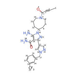 CC#CC(=O)N1CCCC(n2nc(-c3cnn(Cc4cccc(C(F)(F)F)c4)c3)c(C(N)=O)c2N)CCC1